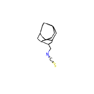 S=C=NCC1C2CC3CC(C2)CC1C3